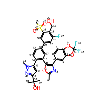 Cc1nc(-c2ccc3c(c2)OC(F)(F)O3)c(-c2cc(-c3cc(F)c(CO)c(S(C)(=O)=O)c3)ccc2-c2cc(C(C)(C)O)nn2C)o1